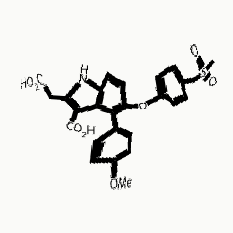 COc1ccc(-c2c(Oc3ccc(S(C)(=O)=O)cc3)ccc3[nH]c(CC(=O)O)c(C(=O)O)c23)cc1